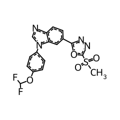 CS(=O)(=O)c1nnc(-c2ccc3ncn(-c4ccc(OC(F)F)cc4)c3c2)o1